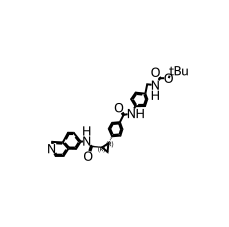 CC(C)(C)OC(=O)NCc1ccc(NC(=O)c2ccc([C@@H]3C[C@H]3C(=O)Nc3ccc4cnccc4c3)cc2)cc1